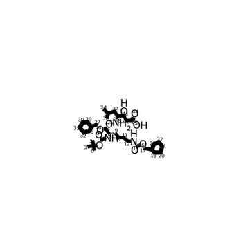 CC(C)(C)OC(=O)N[C@@H](CCCCNC(=O)OCc1ccccc1)C(=O)OCc1ccccc1.CC(C)C[C@H](N)[C@@H](O)CC(=O)O